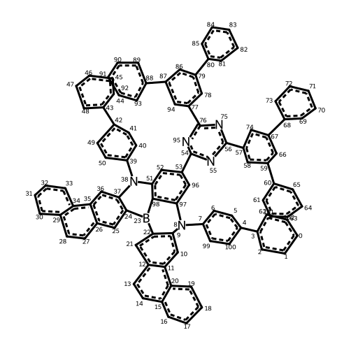 c1ccc(-c2ccc(N3c4cc5c(ccc6ccccc65)cc4B4c5cc6ccc7ccccc7c6cc5N(c5ccc(-c6ccccc6)cc5)c5cc(-c6nc(-c7cc(-c8ccccc8)cc(-c8ccccc8)c7)nc(-c7cc(-c8ccccc8)cc(-c8ccccc8)c7)n6)cc3c54)cc2)cc1